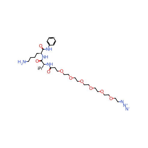 CC(C)[C@H](NC(=O)CCOCCOCCOCCOCCOCCOCCN=[N+]=[N-])C(=O)N[C@@H](CCCCN)C(=O)Nc1cc[c]cc1